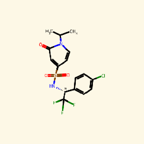 CC(C)n1ccc(S(=O)(=O)N[C@H](c2ccc(Cl)cc2)C(F)(F)F)cc1=O